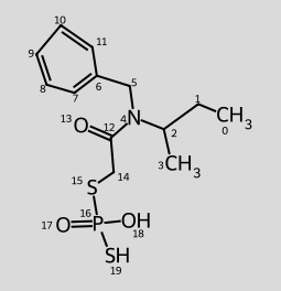 CCC(C)N(Cc1ccccc1)C(=O)CSP(=O)(O)S